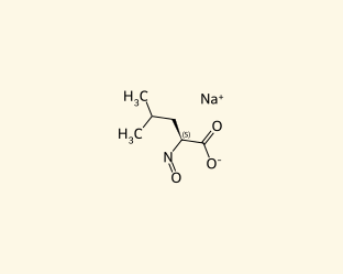 CC(C)C[C@H](N=O)C(=O)[O-].[Na+]